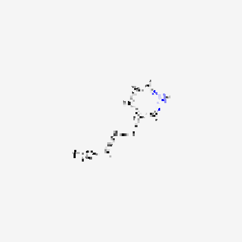 [CH2]C=CCc1cccnc1